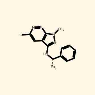 C[C@H](Nc1nn(C)c2nnc(Cl)cc12)c1ccccc1